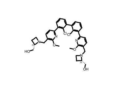 COc1nc(-c2cccc(-c3cccc(-c4ccc(CN5CC[C@H]5CO)c(OC)n4)c3Cl)c2Cl)ccc1CN1CC[C@H]1CO